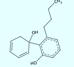 CCCCc1cccc(O)c1C1(O)C=CC=CC1